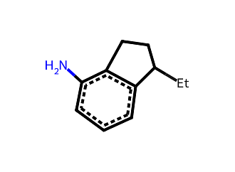 [CH2]CC1CCc2c(N)cccc21